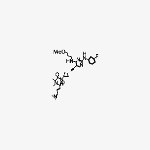 COCCCNc1nc(Nc2cccc(F)c2)ncc1C#C[C@H]1C[C@H](NC(=O)[C@H](C)N(C)C(=O)/C=C/CN(C)C)C1